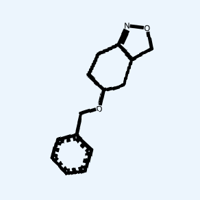 c1ccc(COC2CCC3=NOCC3C2)cc1